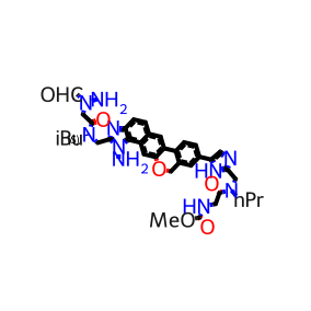 CCCN(Cc1ncc(-c2ccc3c(c2)COc2cc4c(ccc5nc(CN(C(=O)CN(N)C=O)[C@@H](C)CC)n(N)c54)cc2-3)[nH]1)C(=O)CNC(=O)OC